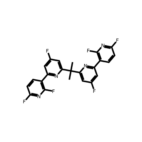 CC(C)(c1cc(F)cc(-c2ccc(F)nc2F)n1)c1cc(F)cc(-c2ccc(F)nc2F)n1